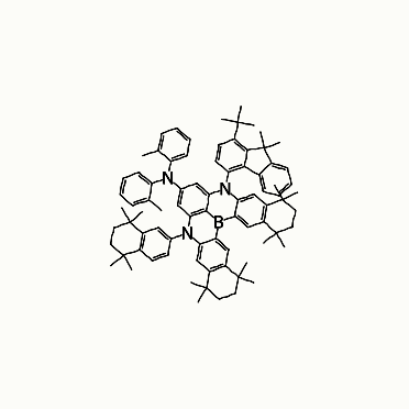 Cc1ccccc1N(c1cc2c3c(c1)N(c1ccc(C(C)(C)C)c4c1-c1ccccc1C4(C)C)c1cc4c(cc1B3c1cc3c(cc1N2c1ccc2c(c1)C(C)(C)CCC2(C)C)C(C)(C)CCC3(C)C)C(C)(C)CCC4(C)C)c1ccccc1C